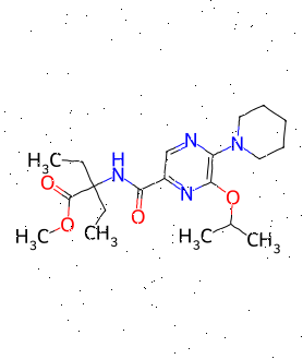 CCC(CC)(NC(=O)c1cnc(N2CCCCC2)c(OC(C)C)n1)C(=O)OC